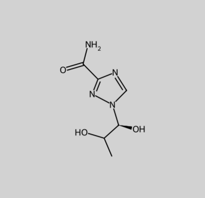 CC(O)[C@H](O)n1cnc(C(N)=O)n1